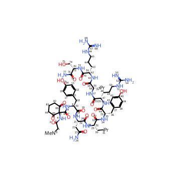 CNCC(=O)NC1(C(=O)N[C@@H](Cc2ccc(O)cc2)C(=O)N[C@@H](CC(N)=O)C(=O)N[C@@H](CC(C)C)C(=O)N[C@@H](Cc2ccc(O)cc2)C(=O)N[C@@H](CCCNC(=N)N)C(=O)N[C@H](C(=O)N[C@@H](CCCNC(=N)N)C(=O)N[C@@H](CO)C(N)=O)C(C)C)C(=O)CCCC1=O